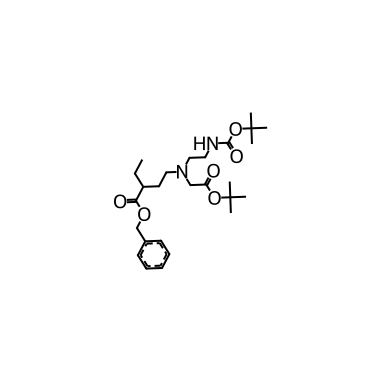 CCC(CCN(CCNC(=O)OC(C)(C)C)CC(=O)OC(C)(C)C)C(=O)OCc1ccccc1